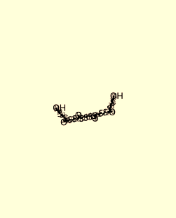 O=C(CSCSCC[S+]([O-])CSCSCSC(=O)CSCSCC(=O)SCCSCCO)SCCSCCO